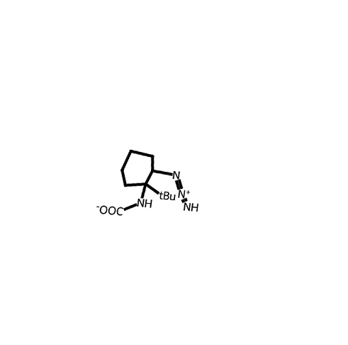 CC(C)(C)C1(NC(=O)[O-])CCCCC1N=[N+]=N